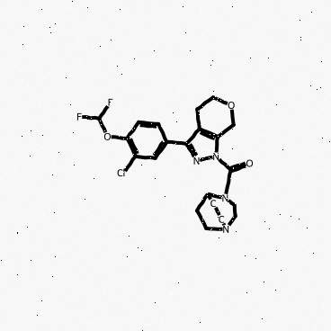 O=C(N1CCN2CCC1CC2)n1nc(-c2ccc(OC(F)F)c(Cl)c2)c2c1COCC2